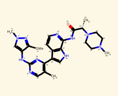 COc1nn(C)cc1Nc1ncc(C)c(-c2c[nH]c3c(NC(=O)[C@H](C)N4CCN(C)CC4)nccc23)n1